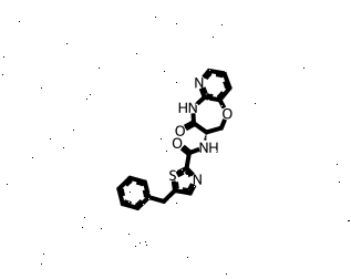 O=C(N[C@H]1COc2cccnc2NC1=O)c1ncc(Cc2ccccc2)s1